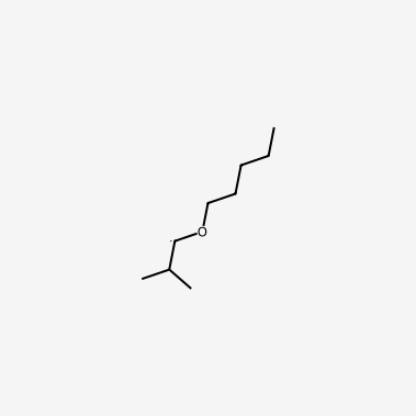 CCCCCO[CH]C(C)C